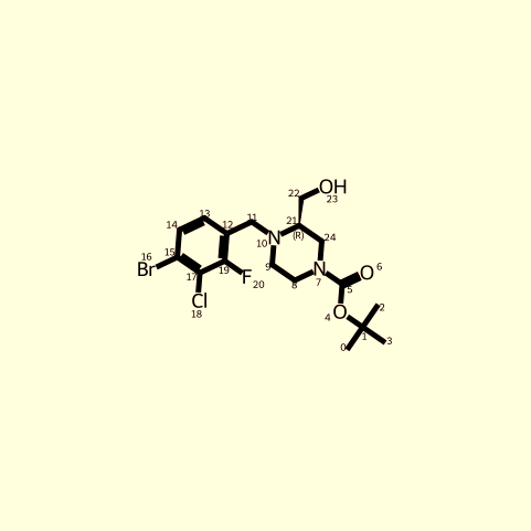 CC(C)(C)OC(=O)N1CCN(Cc2ccc(Br)c(Cl)c2F)[C@@H](CO)C1